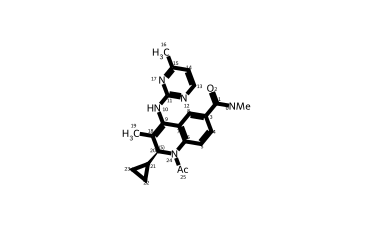 CNC(=O)c1ccc2c(c1)C(Nc1nccc(C)n1)=C(C)[C@H](C1CC1)N2C(C)=O